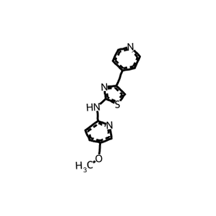 COc1ccc(Nc2nc(-c3ccncc3)cs2)nc1